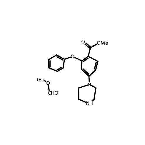 CC(C)(C)OC=O.COC(=O)c1ccc(N2CCNCC2)cc1Oc1ccccc1